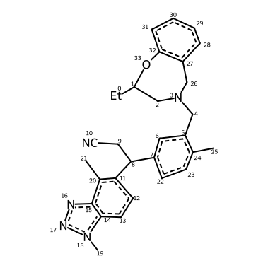 CCC1CN(Cc2cc(C(CC#N)c3ccc4c(nnn4C)c3C)ccc2C)Cc2ccccc2O1